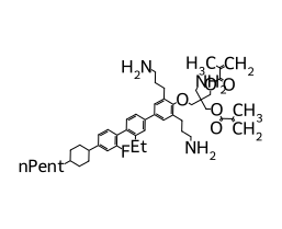 C=C(C)C(=O)OCC(CN)(COC(=O)C(=C)C)COc1c(CCCN)cc(-c2ccc(-c3ccc(C4CCC(CCCCC)CC4)cc3F)c(CC)c2)cc1CCCN